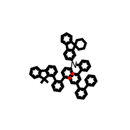 CC1(C)c2ccccc2-c2cccc(-c3ccccc3-c3ccc(N(c4ccc5c(c4)C4(CCCCC4)c4ccccc4-5)c4ccccc4-c4cccc(-c5ccccc5-c5ccccc5)c4)cc3)c21